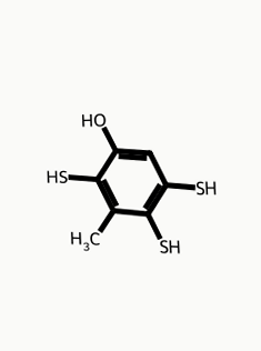 Cc1c(S)c(O)cc(S)c1S